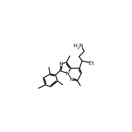 CCC(CCN)c1cc(C)nn2c(-c3c(C)cc(C)cc3C)nc(C)c12